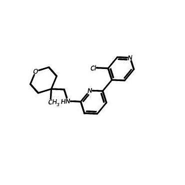 CC1(CNc2cccc(-c3ccncc3Cl)n2)CCOCC1